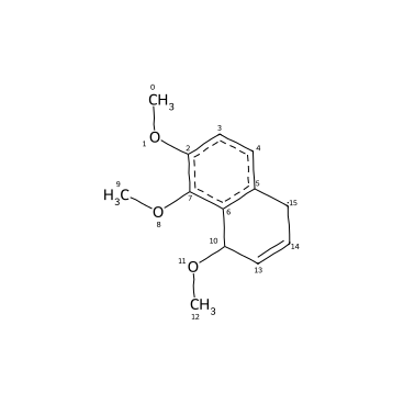 COc1ccc2c(c1OC)C(OC)C=C[CH]2